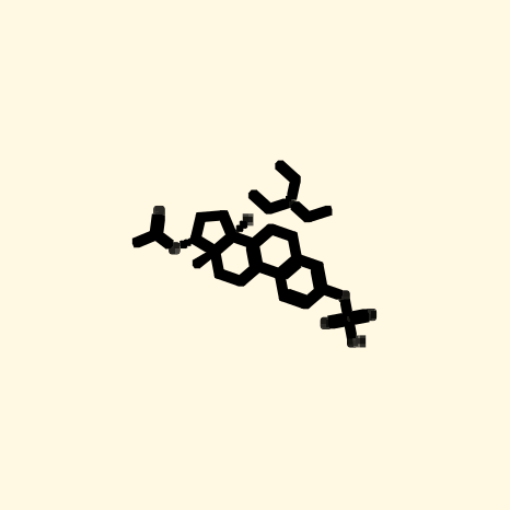 CC(=O)O[C@@H]1CC[C@H]2C3=C(CC[C@]12C)c1ccc(OS(=O)(=O)O)cc1CC3.CCN(CC)CC